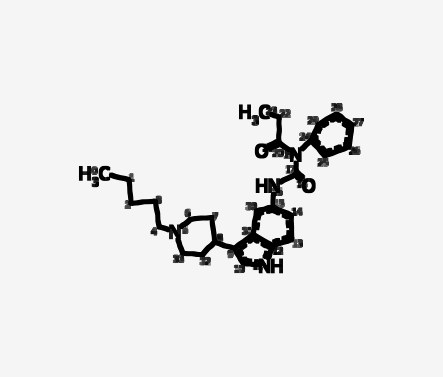 CCCCCN1CCC(c2c[nH]c3ccc(NC(=O)N(C(=O)CC)c4ccccc4)cc23)CC1